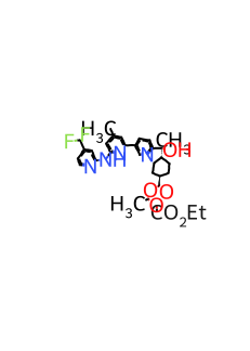 CCOC(=O)OC(C)OC(=O)[C@H]1CC[C@H](C(C)(O)c2ccc(-c3cc(C)cc(Nc4cc(C(F)F)ccn4)n3)cn2)CC1